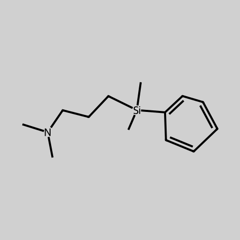 CN(C)CCC[Si](C)(C)c1ccccc1